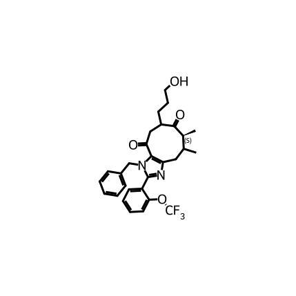 CC1Cc2nc(-c3ccccc3OC(F)(F)F)n(Cc3ccccc3)c2C(=O)CC(CCCO)C(=O)[C@H]1C